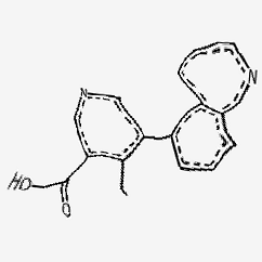 Cc1c(C(=O)O)cncc1-c1cccc2ncccc12